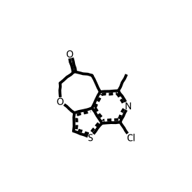 Cc1nc(Cl)c2scc3c2c1CC(=O)CO3